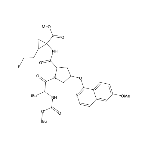 COC(=O)C1(NC(=O)C2CC(Oc3nccc4cc(OC)ccc34)CN2C(=O)C(NC(=O)OC(C)(C)C)C(C)(C)C)CC1CCF